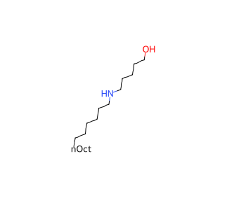 CCCCCCCCCCCCCCNCCCCCO